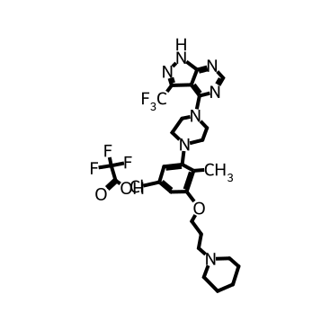 Cc1c(OCCCN2CCCCC2)cc(Cl)cc1N1CCN(c2ncnc3[nH]nc(C(F)(F)F)c23)CC1.O=C(O)C(F)(F)F